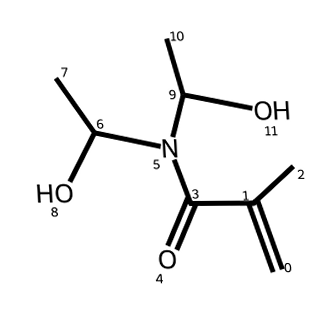 C=C(C)C(=O)N(C(C)O)C(C)O